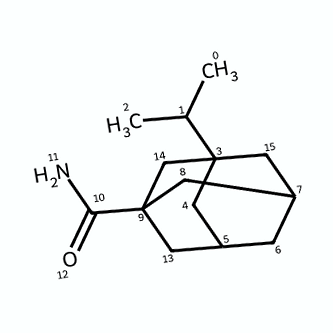 CC(C)C12CC3CC(CC(C(N)=O)(C3)C1)C2